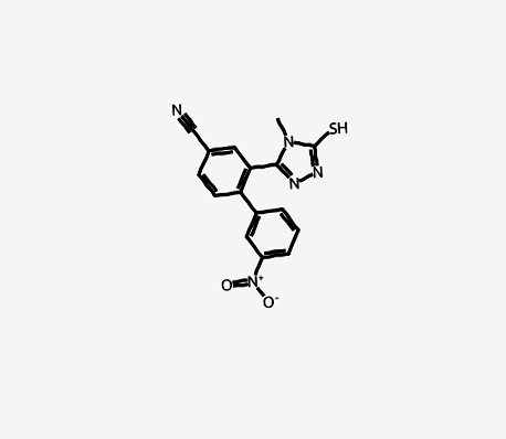 Cn1c(S)nnc1-c1cc(C#N)ccc1-c1cccc([N+](=O)[O-])c1